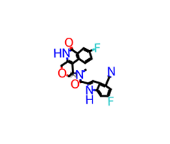 CN(C(=O)c1cc2c(C#N)cc(F)cc2[nH]1)[C@H]1COCc2[nH]c(=O)c3cc(F)ccc3c21